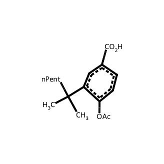 CCCCCC(C)(C)c1cc(C(=O)O)ccc1OC(C)=O